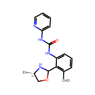 CC[C@H]1COC(c2c(C=O)cccc2NC(=O)Nc2ccccn2)N1